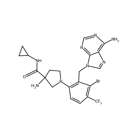 Nc1ncnc2c1ncn2Cc1c(N2CCC(N)(C(=O)NC3CC3)C2)ccc(C(F)(F)F)c1Br